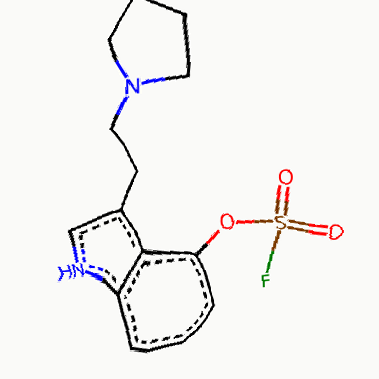 O=S(=O)(F)Oc1cccc2[nH]cc(CCN3CCCC3)c12